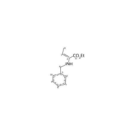 CC=C(NCc1ccccc1)C(=O)OCC